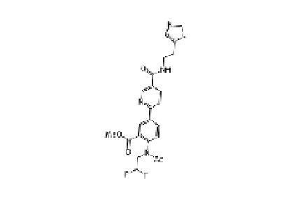 COC(=O)c1cc(-c2ccc(C(=O)NCCc3cncs3)cn2)ccc1N(CC(F)F)C(C)=O